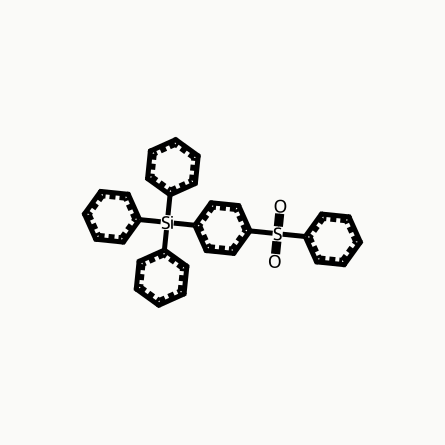 O=S(=O)(c1ccccc1)c1ccc([Si](c2ccccc2)(c2ccccc2)c2ccccc2)cc1